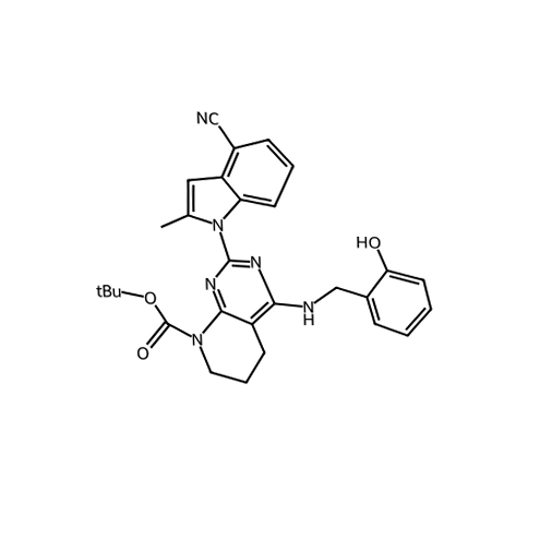 Cc1cc2c(C#N)cccc2n1-c1nc(NCc2ccccc2O)c2c(n1)N(C(=O)OC(C)(C)C)CCC2